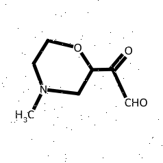 CN1CCOC(C(=O)C=O)C1